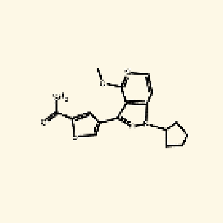 COc1nccc2c1c(-c1csc(C(N)=O)c1)nn2C1CCCC1